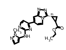 CCOC(=O)C1C[C@H]1c1nnc2cc(-c3ccnc(Nc4ccnn4C)n3)ccn12